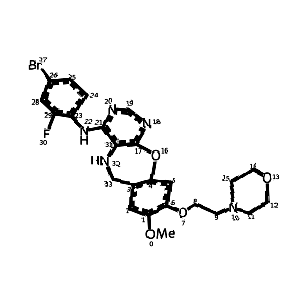 COc1cc2c(cc1OCCN1CCOCC1)Oc1ncnc(Nc3ccc(Br)cc3F)c1NC2